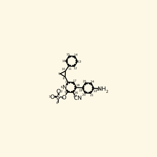 CS(=O)(=O)Oc1nc(C2CC2c2ccccc2)cc(-c2ccc(N)cc2)c1C#N